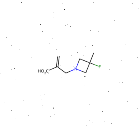 C=C(CN1CC(C)(F)C1)C(=O)O